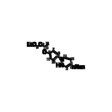 CCCCCCCCCC1=CNN(c2ccc(OC(C)C(=O)OCC)cc2)C=C1